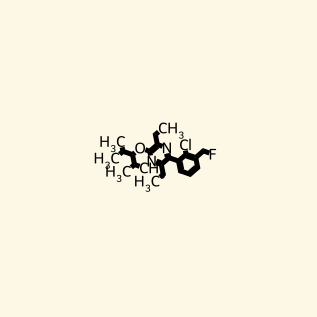 CCc1nc(-c2cccc(CF)c2Cl)c(CC)nc1OC(C(C)C)C(C)C